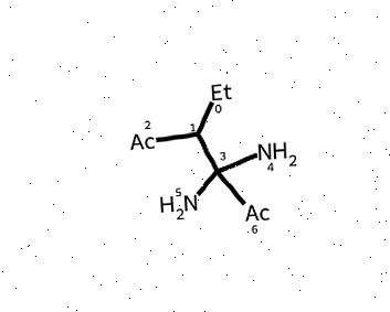 CCC(C(C)=O)C(N)(N)C(C)=O